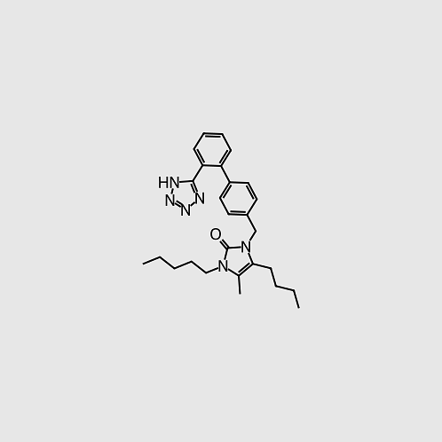 CCCCCn1c(C)c(CCCC)n(Cc2ccc(-c3ccccc3-c3nnn[nH]3)cc2)c1=O